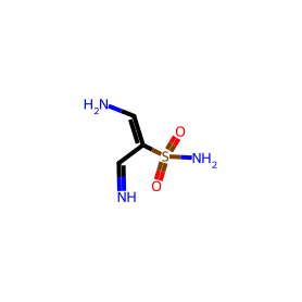 N=C/C(=C\N)S(N)(=O)=O